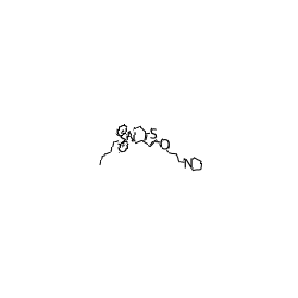 CCCCS(=O)(=O)N1CCc2sc(OCCCN3CCCC3)cc2C1